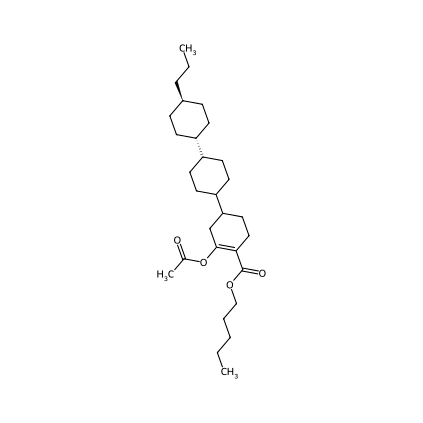 CCCCCOC(=O)C1=C(OC(C)=O)CC(C2CCC([C@H]3CC[C@H](CCC)CC3)CC2)CC1